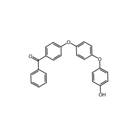 O=C(c1ccccc1)c1ccc(Oc2ccc(Oc3ccc(O)cc3)cc2)cc1